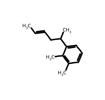 CC=CCC(C)c1cccc(C)c1C